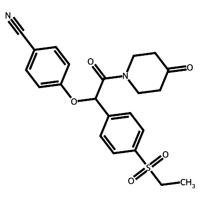 CCS(=O)(=O)c1ccc(C(Oc2ccc(C#N)cc2)C(=O)N2CCC(=O)CC2)cc1